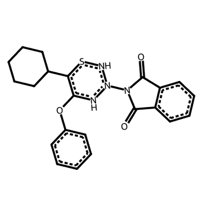 O=C1c2ccccc2C(=O)N1n1[nH]sc(C2CCCCC2)c(Oc2ccccc2)[nH]1